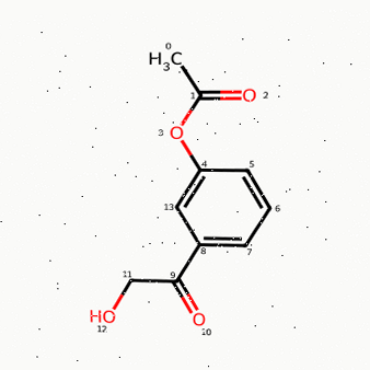 CC(=O)Oc1cccc(C(=O)CO)c1